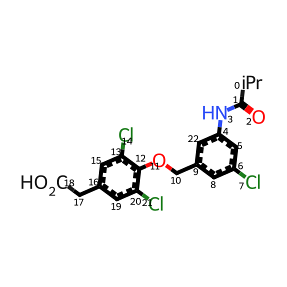 CC(C)C(=O)Nc1cc(Cl)cc(COc2c(Cl)cc(CC(=O)O)cc2Cl)c1